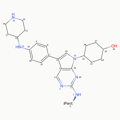 CCC[C@H](C)Nc1ncc2c(-c3ccc(NC4CCNCC4)cc3)cn(C3CCC(O)CC3)c2n1